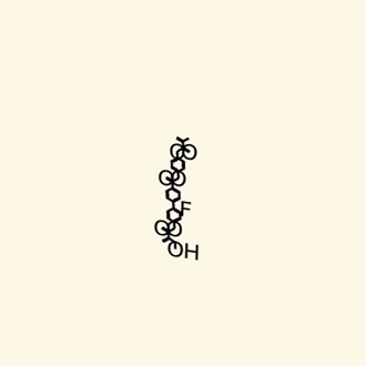 C=C(C)C(=O)Oc1ccc(OC(=O)c2ccc(-c3ccc(OC(=O)C(=C)CO)cc3F)cc2)cc1